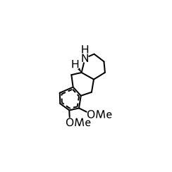 COc1ccc2c(c1OC)CC1CCCN[C@H]1C2